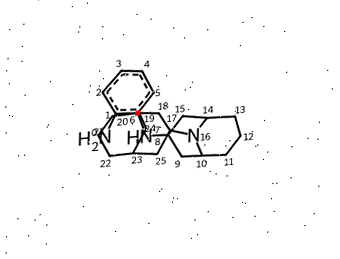 Nc1ccccc1NC1CC2CCCC(C1)N2C1CC2CCCC(C2)C1